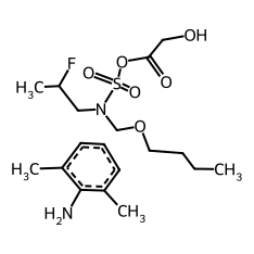 CCCCOCN(CC(C)F)S(=O)(=O)OC(=O)CO.Cc1cccc(C)c1N